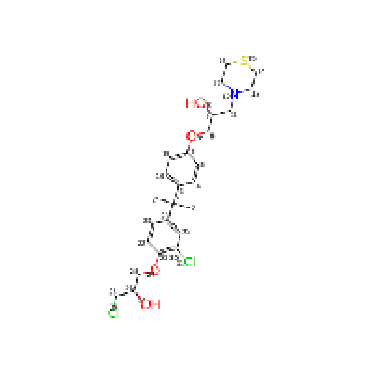 CC(C)(c1ccc(OC[C@@H](O)CN2CCSCC2)cc1)c1ccc(OC[C@@H](O)CCl)c(Cl)c1